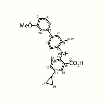 COc1cccc(-c2ccc(Nc3ncc(C4CC4)cc3C(=O)O)c(F)c2)c1